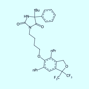 CCCc1cc2c(c(CCC)c1OCCCCN1C(=O)NC(c3ccccc3)(C(C)(C)C)C1=O)COC2(C(F)(F)F)C(F)(F)F